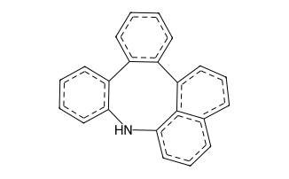 c1ccc2c(c1)Nc1cccc3cccc(c13)-c1ccccc1-2